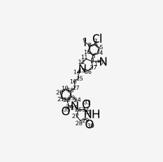 N#CC1(c2ccc(Cl)c(I)c2)CCN(CCCCc2cccc3c2CN(C2CCC(=O)NC2=O)C3=O)CC1